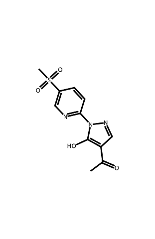 CC(=O)c1cnn(-c2ccc(S(C)(=O)=O)cn2)c1O